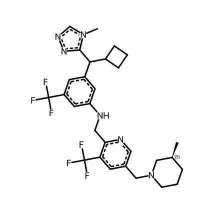 C[C@H]1CCCN(Cc2cnc(CNc3cc(C(c4nncn4C)C4CCC4)cc(C(F)(F)F)c3)c(C(F)(F)F)c2)C1